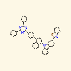 c1ccc(-c2nc(-c3ccccc3)nc(-c3ccc(-c4ccc(-n5c6ccccc6c6ccc(-c7nc8ccccc8s7)cc65)c5ccccc45)cc3)n2)cc1